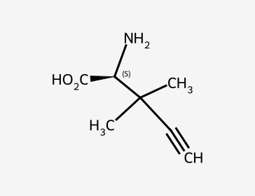 C#CC(C)(C)[C@H](N)C(=O)O